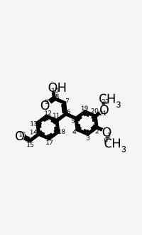 COc1ccc(C(=CC(=O)O)c2ccc(C=O)cc2)cc1OC